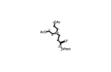 CCCCCOC(=O)CCN(CCOC(C)=O)CCOC(C)=O